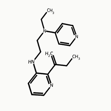 C=C(CC)c1ncccc1NCCN(CC)c1ccncc1